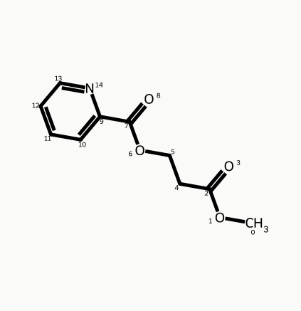 COC(=O)CCOC(=O)c1ccccn1